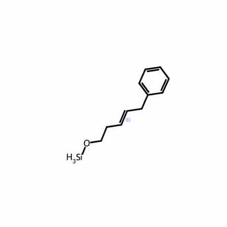 [SiH3]OCC/C=C/Cc1ccccc1